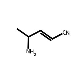 CC(N)C=CC#N